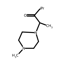 CC(C)C(=O)C(C)N1CCN(C)CC1